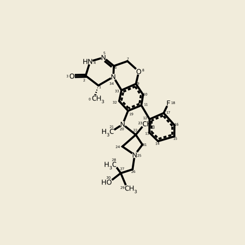 C[C@@H]1C(=O)NN=C2COc3cc(-c4ccccc4F)c(N(C)C4(C)CN(CC(C)(C)O)C4)cc3N21